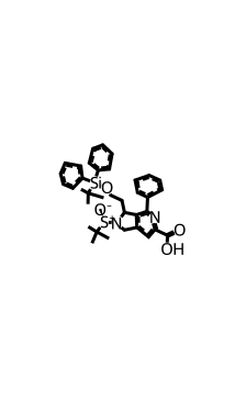 CC(C)(C)[S@@+]([O-])N1Cc2cc(C(=O)O)nc(-c3ccccc3)c2C1CCO[Si](c1ccccc1)(c1ccccc1)C(C)(C)C